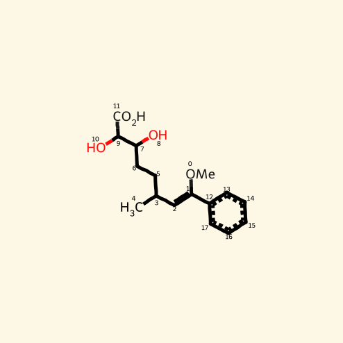 COC(=CC(C)CCC(O)C(O)C(=O)O)c1ccccc1